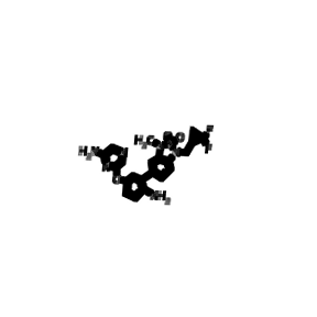 CN1c2cc(-c3cc(Oc4cncc(N)n4)ccc3N)ccc2N(CC2CC2(F)F)S1(=O)=O